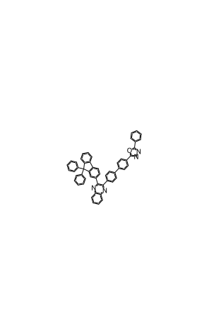 c1ccc(-c2nnc(-c3ccc(-c4ccc(-c5nc6ccccc6nc5-c5ccc6c(c5)C(c5ccccc5)(c5ccccc5)c5ccccc5-6)cc4)cc3)o2)cc1